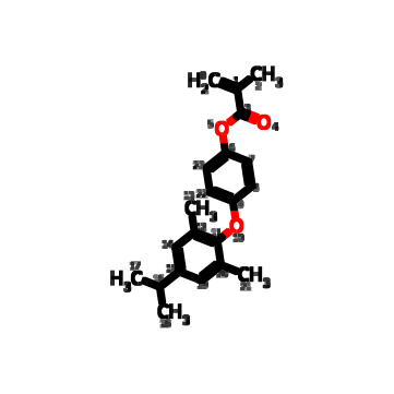 C=C(C)C(=O)Oc1ccc(Oc2c(C)cc(C(C)C)cc2C)cc1